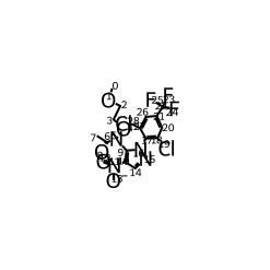 COCCON(C(C)=O)c1c([N+](=O)[O-])cnn1-c1c(Cl)cc(C(F)(F)F)cc1Cl